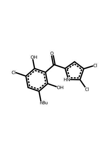 CCCCc1cc(Cl)c(O)c(C(=O)c2cc(Cl)c(Cl)[nH]2)c1O